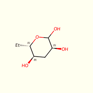 CC[C@@H]1OC(O)[C@@H](O)C[C@H]1O